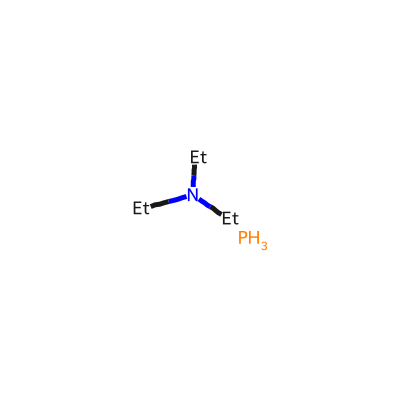 CCN(CC)CC.P